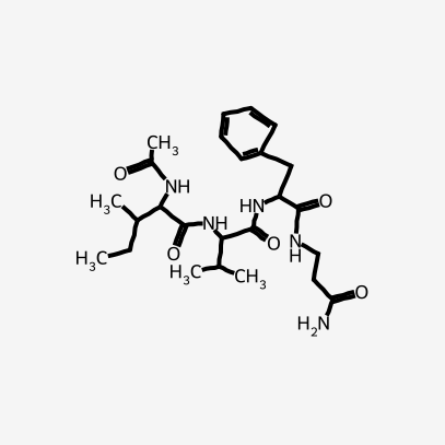 CCC(C)C(NC(C)=O)C(=O)NC(C(=O)NC(Cc1ccccc1)C(=O)NCCC(N)=O)C(C)C